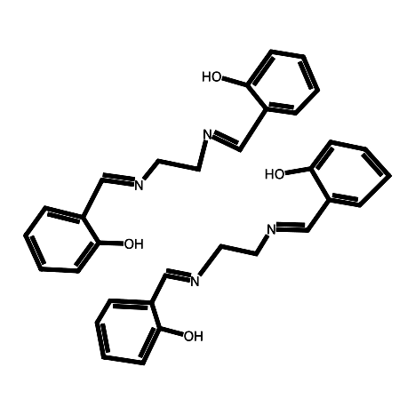 Oc1ccccc1/C=N/CC/N=C/c1ccccc1O.Oc1ccccc1/C=N/CC/N=C/c1ccccc1O